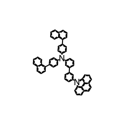 c1cc(-c2cccc(-n3c4cccc5ccc6cccc3c6c54)c2)cc(N(c2ccc(-c3cccc4ccccc34)cc2)c2ccc(-c3cccc4ccccc34)cc2)c1